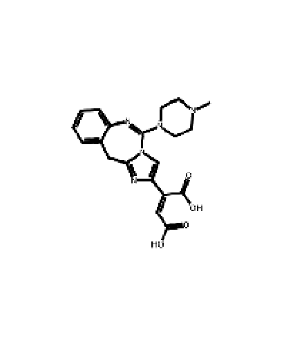 CN1CCN(C2=Nc3ccccc3Cc3nc(C(=CC(=O)O)C(=O)O)cn32)CC1